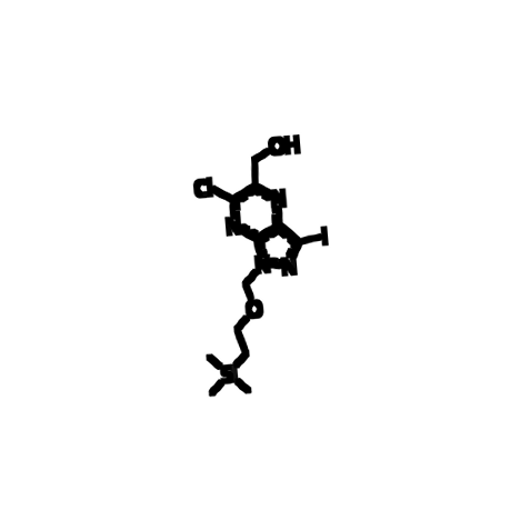 C[Si](C)(C)CCOCn1nc(I)c2nc(CO)c(Cl)nc21